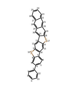 c1ccc(-c2ccc3c(c2)sc2cc4c(cc23)sc2cc3cc5ccccc5cc3cc24)cc1